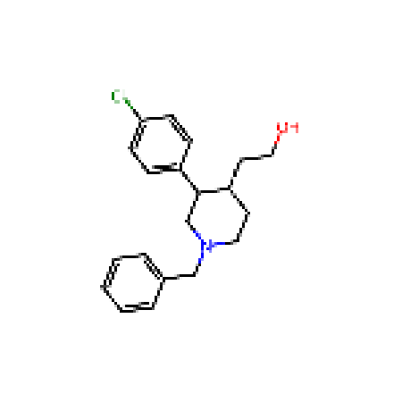 OCCC1CCN(Cc2ccccc2)CC1c1ccc(Cl)cc1